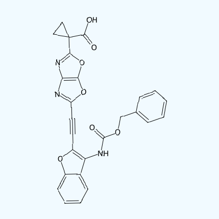 O=C(Nc1c(C#Cc2nc3nc(C4(C(=O)O)CC4)oc3o2)oc2ccccc12)OCc1ccccc1